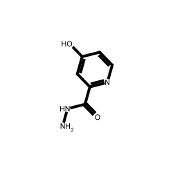 NNC(=O)c1cc(O)ccn1